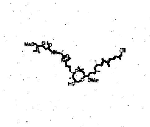 COC[C@@H]([C@H](O)CC(=O)NCC[C@H](C)c1nc(/C=C/C[C@@H]2OC(C)(C)C[C@@H]([C@H](CC[C@H](C)C[C@H](C)/C=C(C)/C(C)=C/C=C/C(C)=C\C#N)OC)OC[C@@H](O)[C@@H]2C)co1)N(C)C